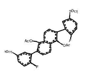 CCCCCCCCc1ccc(F)c(-c2ccc3c(OC(C)=O)c(-c4cc(CCCCCCCC)ccc4F)ccc3c2OC(C)=O)c1